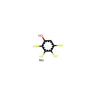 Oc1cc(S)c(S)c(S)c1S.[Mo]